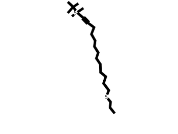 CCCSCCCCCCCCCCCC#C[Si](C)(C)C(C)(C)C